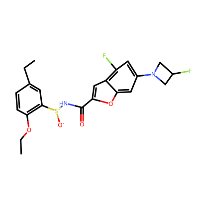 CCOc1ccc(CC)cc1[S+]([O-])NC(=O)c1cc2c(F)cc(N3CC(F)C3)cc2o1